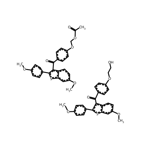 COc1ccc(-c2sc3cc(OC)ccc3c2C(=O)c2ccc(OCCO)cc2)cc1.COc1ccc(-c2sc3cc(OC)ccc3c2C(=O)c2ccc(OCOC(C)=O)cc2)cc1